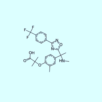 CNC(C)(c1ccc(OC(C)(C)C(=O)O)c(C)c1)c1nc(-c2ccc(C(F)(F)F)cc2)no1